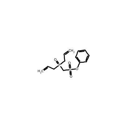 C=CCP(=O)(CC=C)CS(=O)(=O)Oc1ccccc1